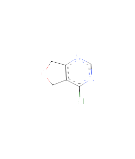 Clc1ncnc2c1COC2